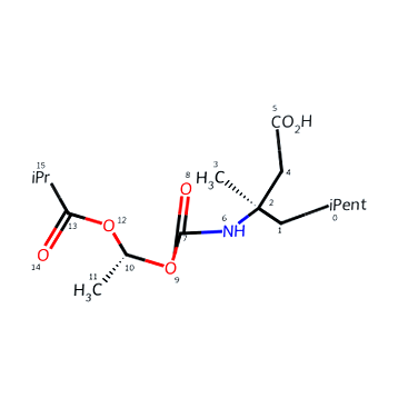 CCCC(C)C[C@](C)(CC(=O)O)NC(=O)O[C@H](C)OC(=O)C(C)C